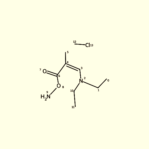 CCN(C=C(C)C(=O)ON)CC.CCl